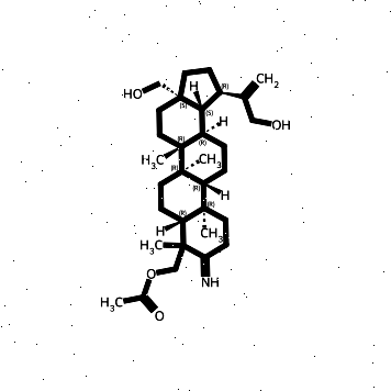 C=C(CO)[C@@H]1CC[C@]2(CO)CC[C@]3(C)[C@H](CC[C@@H]4[C@@]5(C)CCC(=N)C(C)(COC(C)=O)[C@@H]5CC[C@]43C)[C@@H]12